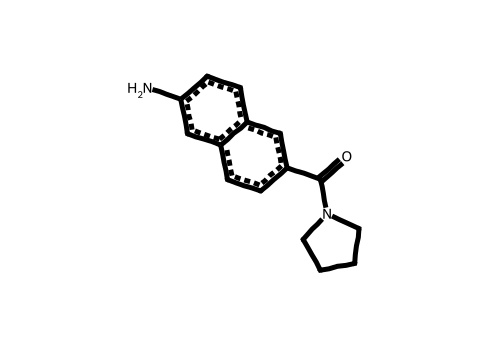 Nc1ccc2cc(C(=O)N3CCCC3)ccc2c1